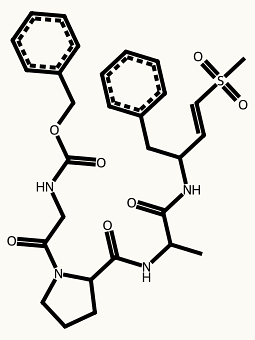 CC(NC(=O)C1CCCN1C(=O)CNC(=O)OCc1ccccc1)C(=O)NC(/C=C/S(C)(=O)=O)Cc1ccccc1